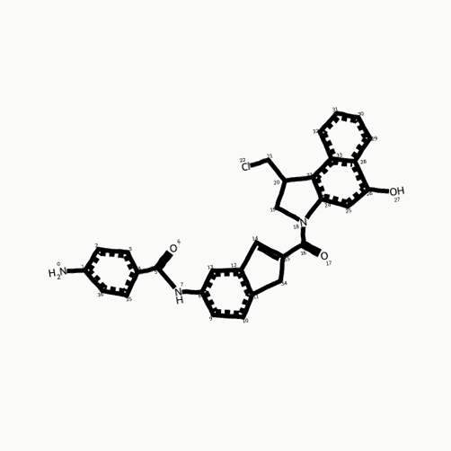 Nc1ccc(C(=O)Nc2ccc3c(c2)C=C(C(=O)N2CC(CCl)c4c2cc(O)c2ccccc42)C3)cc1